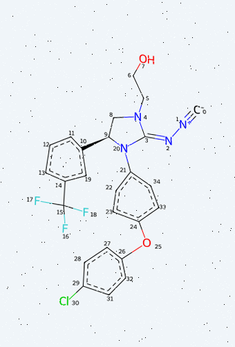 [C-]#[N+]/N=C1\N(CCO)C[C@H](c2cccc(C(F)(F)F)c2)N1c1ccc(Oc2ccc(Cl)cc2)cc1